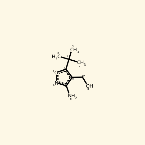 CC(C)(C)c1onc(N)c1CO